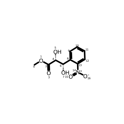 COC(=O)[C@H](O)[C@@H](O)c1ccccc1[N+](=O)[O-]